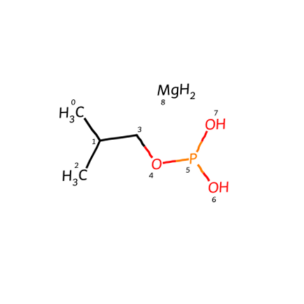 CC(C)COP(O)O.[MgH2]